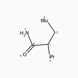 CC(C)C(CC(C)(C)C)C(N)=O